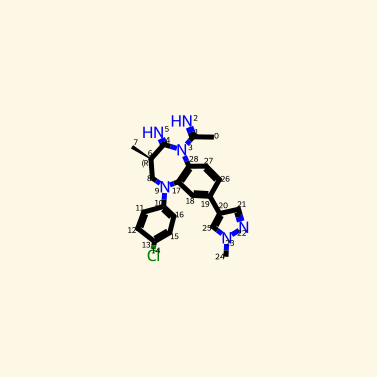 CC(=N)N1C(=N)[C@H](C)CN(c2ccc(Cl)cc2)c2cc(-c3cnn(C)c3)ccc21